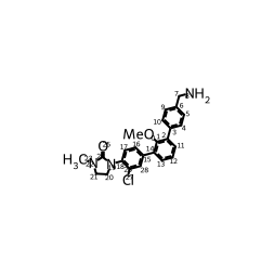 COc1c(-c2ccc(CN)cc2)cccc1-c1ccc(N2CCN(C)C2=O)c(Cl)c1